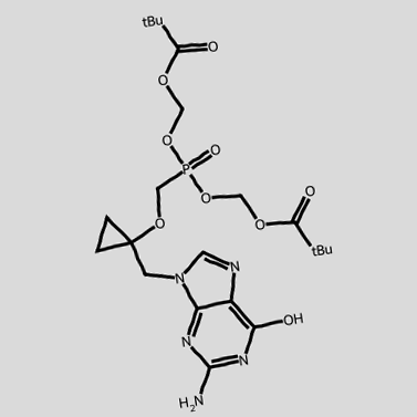 CC(C)(C)C(=O)OCOP(=O)(COC1(Cn2cnc3c(O)nc(N)nc32)CC1)OCOC(=O)C(C)(C)C